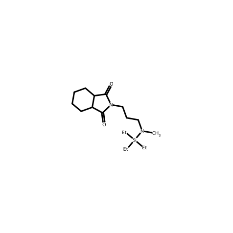 CC[Si](CC)(CC)N(C)CCCN1C(=O)C2CCCCC2C1=O